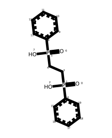 O=P(O)(CCP(=O)(O)c1ccccc1)c1ccccc1